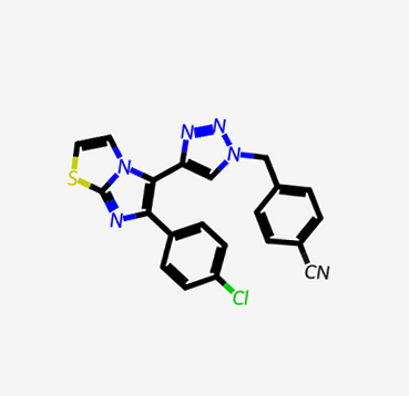 N#Cc1ccc(Cn2cc(-c3c(-c4ccc(Cl)cc4)nc4sccn34)nn2)cc1